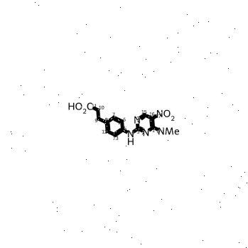 CNc1nc(Nc2ccc(CCC(=O)O)cc2)ncc1[N+](=O)[O-]